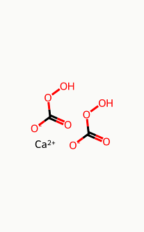 O=C([O-])OO.O=C([O-])OO.[Ca+2]